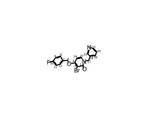 O=c1c(Br)c(OCc2ccc(F)cc2)ccn1Cc1cccnc1